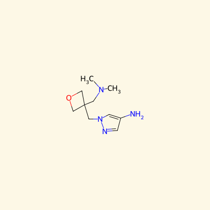 CN(C)CC1(Cn2cc(N)cn2)COC1